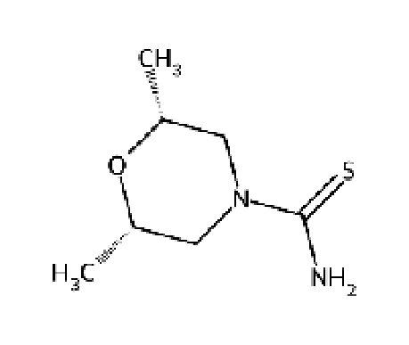 C[C@@H]1CN(C(N)=S)C[C@H](C)O1